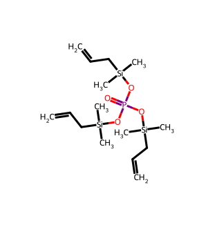 C=CC[Si](C)(C)OP(=O)(O[Si](C)(C)CC=C)O[Si](C)(C)CC=C